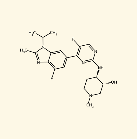 Cc1nc2c(F)cc(-c3nc(N[C@@H]4CCN(C)C[C@H]4O)ncc3F)cc2n1C(C)C